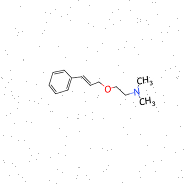 CN(C)CCOCC=Cc1ccccc1